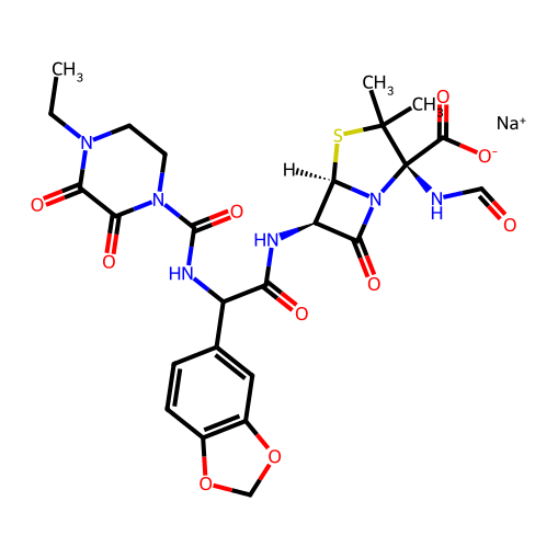 CCN1CCN(C(=O)NC(C(=O)N[C@@H]2C(=O)N3[C@@H]2SC(C)(C)[C@]3(NC=O)C(=O)[O-])c2ccc3c(c2)OCO3)C(=O)C1=O.[Na+]